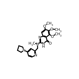 COc1cc2nc(N(C)Cc3cc(N4CCCC4)ccn3)[nH]c(=O)c2c(OC)c1OC